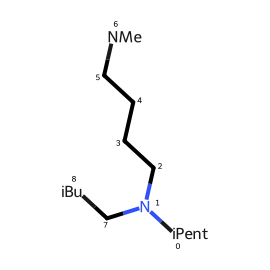 CCCC(C)N(CCCCNC)CC(C)CC